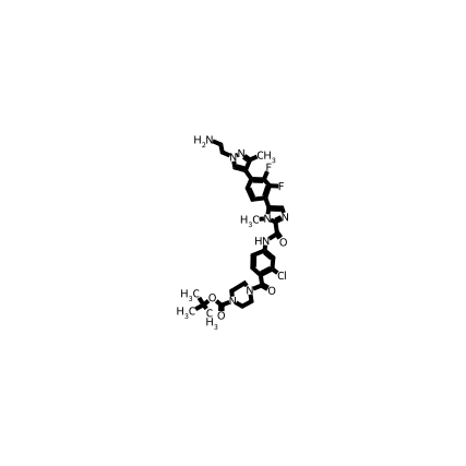 Cc1nn(CCN)cc1-c1ccc(-c2cnc(C(=O)Nc3ccc(C(=O)N4CCN(C(=O)OC(C)(C)C)CC4)c(Cl)c3)n2C)c(F)c1F